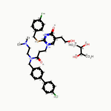 CCN(CC)CCN(Cc1ccc(-c2ccc(Cl)cc2)cc1)C(=O)CCn1cc(CCO)c(=O)nc1SCc1ccc(F)cc1.O=C(O)C(O)C(O)C(=O)O